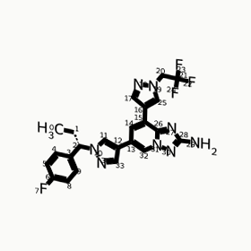 CC[C@@H](c1ccc(F)cc1)n1cc(-c2cc(-c3cnn(CC(F)(F)F)c3)c3nc(N)nn3c2)cn1